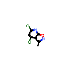 Cc1noc2nc(Cl)cc(Cl)c12